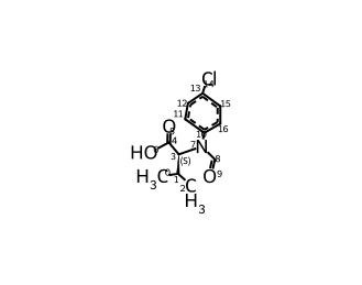 CC(C)[C@@H](C(=O)O)N(C=O)c1ccc(Cl)cc1